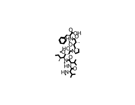 CC[C@H](C)[C@@H]([C@@H](CC(O)N1CCC[C@H]1[C@H](OC)[C@@H](C)C(=O)N[C@@H](Cc1ccccc1)C(=O)O)OC)N(C)C(=O)[C@@H](NC(=O)[C@@H](NC)C(C)C)C(C)C